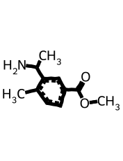 COC(=O)c1ccc(C)c(C(C)N)c1